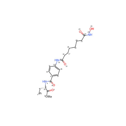 COC(=O)[C@H](CC(C)C)NC(=O)c1ccc(NC(=O)CCCCCCC(=O)NO)cc1